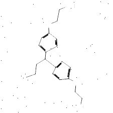 CCCC(c1ccc(OCCO)cc1)c1ccc(OCCO)cc1